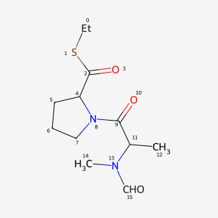 CCSC(=O)C1CCCN1C(=O)C(C)N(C)C=O